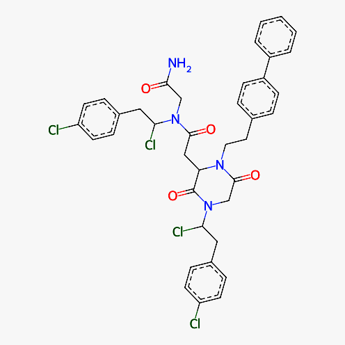 NC(=O)CN(C(=O)CC1C(=O)N(C(Cl)Cc2ccc(Cl)cc2)CC(=O)N1CCc1ccc(-c2ccccc2)cc1)C(Cl)Cc1ccc(Cl)cc1